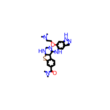 CN(C)CCOc1cc2[nH]ncc2cc1NC1=NCNC2Sc3cc(C(=O)N(C)C)ccc3C12